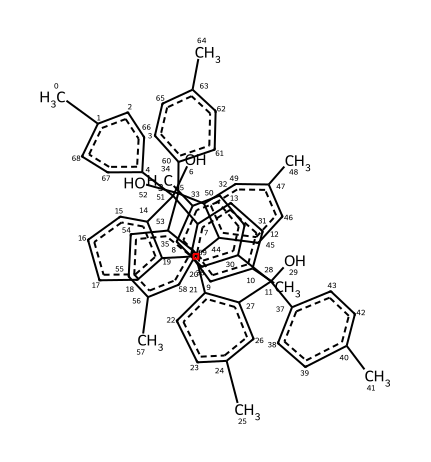 Cc1ccc(C(O)(c2ccc(C)cc2)c2ccccc2N(c2ccc(C)cc2C(O)(c2ccc(C)cc2)c2ccc(C)cc2)c2ccc(C)cc2C(O)(c2ccc(C)cc2)c2ccc(C)cc2)cc1